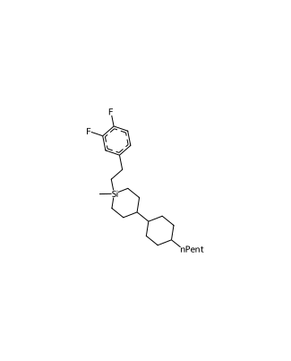 CCCCCC1CCC(C2CC[Si](C)(CCc3ccc(F)c(F)c3)CC2)CC1